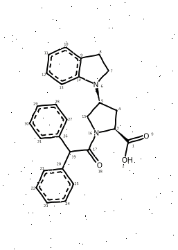 O=C(O)[C@@H]1C[C@H](N2CCc3ccccc32)CN1C(=O)C(c1ccccc1)c1ccccc1